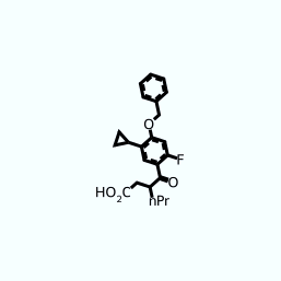 CCCC(CC(=O)O)C(=O)c1cc(C2CC2)c(OCc2ccccc2)cc1F